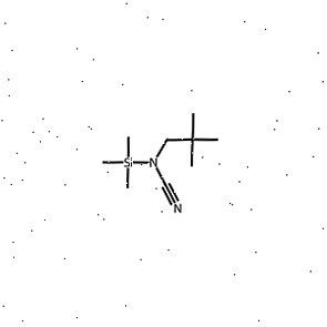 CC(C)(C)CN(C#N)[Si](C)(C)C